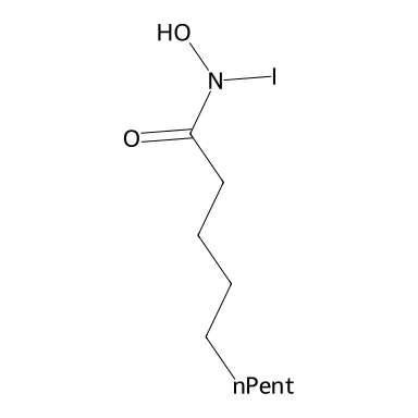 CCCCCCCCCC(=O)N(O)I